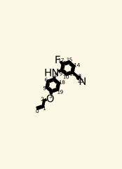 C=CCOc1ccc(Nc2cc(C#N)ccc2F)cc1